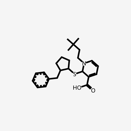 CC(C)(C)CCN1C=CC=C(C(=O)O)C1SC1CCCC1Cc1ccccc1